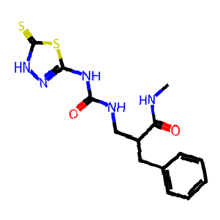 CNC(=O)C(CNC(=O)Nc1n[nH]c(=S)s1)Cc1ccccc1